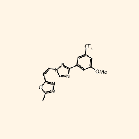 COc1cc(-c2ncn(/C=C\c3nnc(C)o3)n2)cc(C(F)(F)F)c1